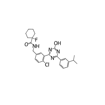 CC(C)c1cccc(-c2nc(O)nc(-c3cc(CNC(=O)C4(F)CCCCC4)ccc3Cl)n2)c1